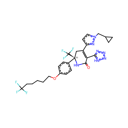 O=C1N[C@@](c2ccc(OCCCCCC(F)(F)F)cc2)(C(F)(F)F)CC(c2ccn(CC3CC3)n2)=C1c1nnn[nH]1